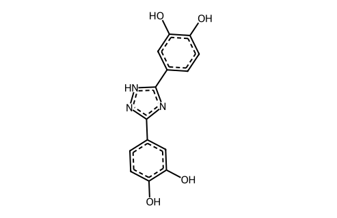 Oc1ccc(-c2n[nH]c(-c3ccc(O)c(O)c3)n2)cc1O